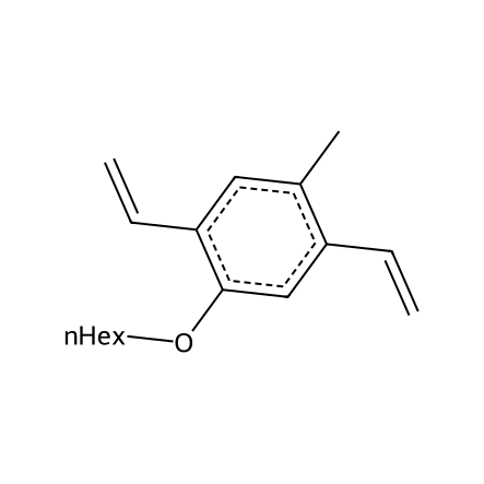 C=Cc1cc(OCCCCCC)c(C=C)cc1C